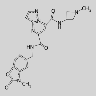 CN1CC(NC(=O)c2cc(C(=O)NCc3ccc4oc(=O)n(C)c4c3)nc3ccnn23)C1